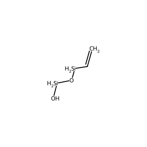 C=C[SiH2]O[SiH2]O